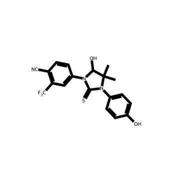 CC1(C)C(O)N(c2ccc(C#N)c(C(F)(F)F)c2)C(=S)N1c1ccc(O)cc1